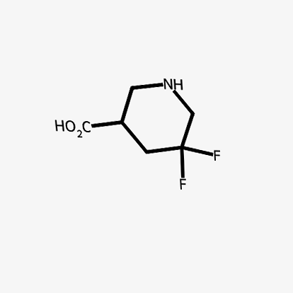 O=C(O)C1CNCC(F)(F)C1